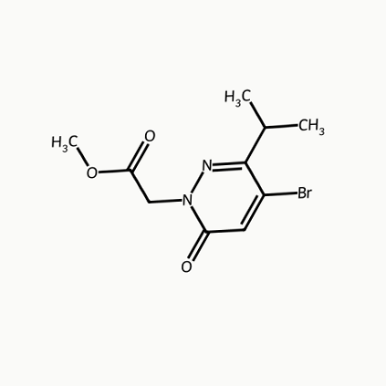 COC(=O)Cn1nc(C(C)C)c(Br)cc1=O